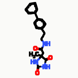 CC1(CC(=O)NCCc2ccc(-c3ccccc3)cc2)NC(=O)NC1=O